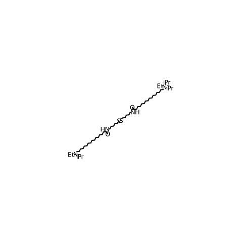 CCN(CCCCCCCCCCCCCCCC(=O)NCCCCCSSCCCCCNC(=O)CCCCCCCCCCCCCCC[N+](CC)(CC(C)C)C(C)C)C(C)C